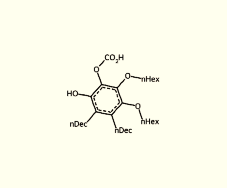 CCCCCCCCCCc1c(O)c(OC(=O)O)c(OCCCCCC)c(OCCCCCC)c1CCCCCCCCCC